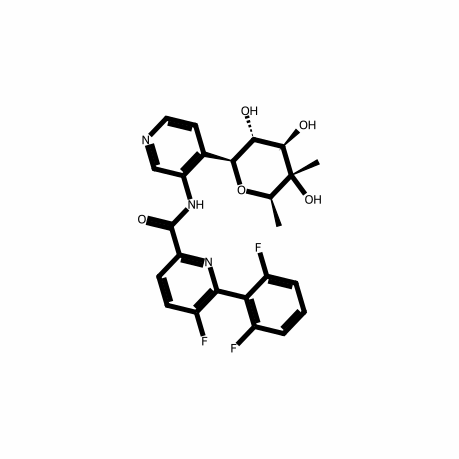 C[C@H]1O[C@@H](c2ccncc2NC(=O)c2ccc(F)c(-c3c(F)cccc3F)n2)[C@H](O)[C@@H](O)[C@]1(C)O